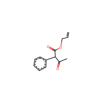 C=CCOC(=O)C(C(C)=O)c1ccccc1